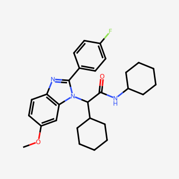 COc1ccc2nc(-c3ccc(F)cc3)n(C(C(=O)NC3CCCCC3)C3CCCCC3)c2c1